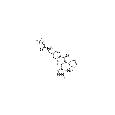 Cn1ncc2c1Nc1ccccc1N(C(=O)c1ccc(CNC(=O)OC(C)(C)C)cc1F)C2